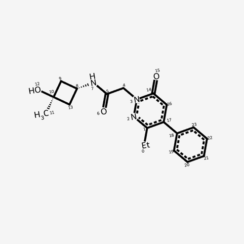 CCc1nn(CC(=O)N[C@H]2C[C@](C)(O)C2)c(=O)cc1-c1ccccc1